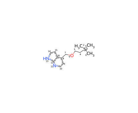 C[Si](C)(C)CCOCc1ccnc2[nH]ccc12